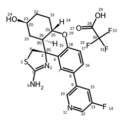 NC1=N[C@@]2(CS1)c1cc(-c3cncc(F)c3)ccc1O[C@H]1CC[C@H](O)C[C@@H]12.O=C(O)C(F)(F)F